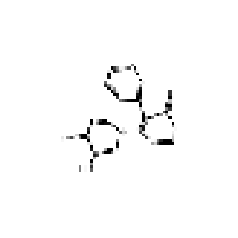 O=C1CC=NC(n2ccc(=O)c(O)c2)=C1c1ccccc1